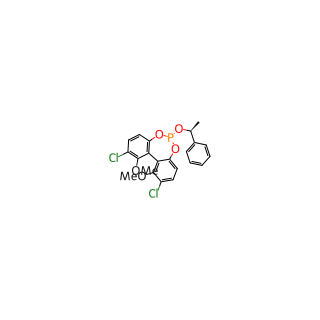 COc1c(Cl)ccc2op(O[C@@H](C)c3ccccc3)oc3ccc(Cl)c(OC)c3c12